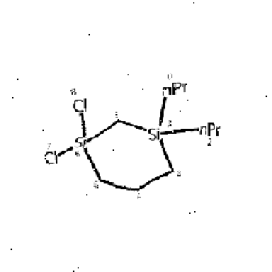 CCC[Si]1(CCC)CCC[Si](Cl)(Cl)C1